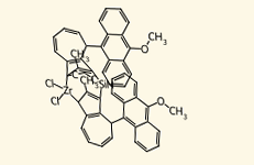 COc1c2ccccc2c(C2C=CC=CC3=C2C2=C(C)[CH]3[Zr]([Cl])([Cl])[C]34CCC[SiH]2C(=C3C)C2=C4C=CC=CC2c2c3ccccc3c(OC)c3ccccc23)c2ccccc12